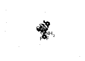 CCc1cccc(CNCC(OC(=O)c2ccoc2C2SCCCS2)C(N)Cc2cc(F)cc(F)c2)c1